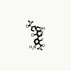 CN(C)C(=O)c1c(N)ccc(-c2cnc3c(c2Cl)[C@]2(CC[C@H](C(=O)N(C)C)C2)CN3)c1F